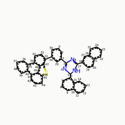 c1cc(C2=NC(c3cccc4ccccc34)NC(c3ccc4ccccc4c3)=N2)cc(-c2ccc3c4ccccc4c4cccc5sc2c3c54)c1